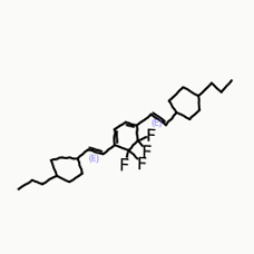 CCCC1CCC(/C=C/C2=CC=C(/C=C/C3CCC(CCC)CC3)C(F)(F)C2(F)F)CC1